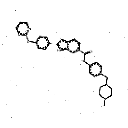 CN1CCN(Cc2ccc(NC(=O)c3ccc4nc(-c5ccc(Oc6ncccn6)cc5)[nH]c4c3)cc2)CC1